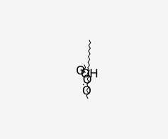 CCC(=O)O.CCCCCCCCCCCCCCOC[CH]COCCC